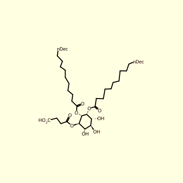 CCCCCCCCCCCCCCCCCCCC(=O)O[C@@H]1[C@H](OC(=O)CCCCCCCCCCCCCCCCCCC)[C@H](O)[C@@H](O)[C@H](O)[C@H]1OC(=O)CCC(=O)O